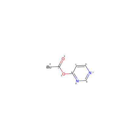 CCC(C)C(=O)Oc1ccncn1